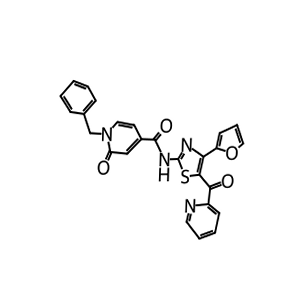 O=C(Nc1nc(-c2ccco2)c(C(=O)c2ccccn2)s1)c1ccn(Cc2ccccc2)c(=O)c1